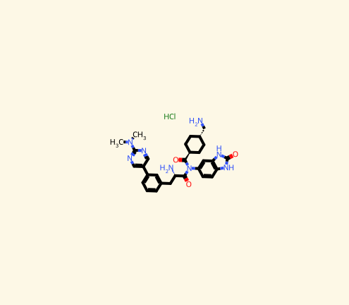 CN(C)c1ncc(-c2cccc(C[C@H](N)C(=O)N(c3ccc4[nH]c(=O)[nH]c4c3)C(=O)[C@H]3CC[C@H](CN)CC3)c2)cn1.Cl